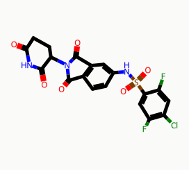 O=C1CCC(N2C(=O)c3ccc(NS(=O)(=O)c4cc(F)c(Cl)cc4F)cc3C2=O)C(=O)N1